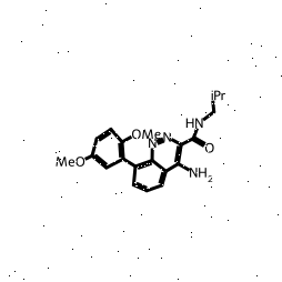 COc1ccc(OC)c(-c2cccc3c(N)c(C(=O)NCC(C)C)nnc23)c1